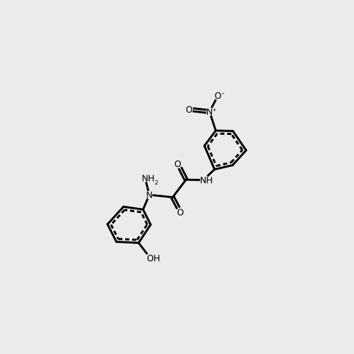 NN(C(=O)C(=O)Nc1cccc([N+](=O)[O-])c1)c1cccc(O)c1